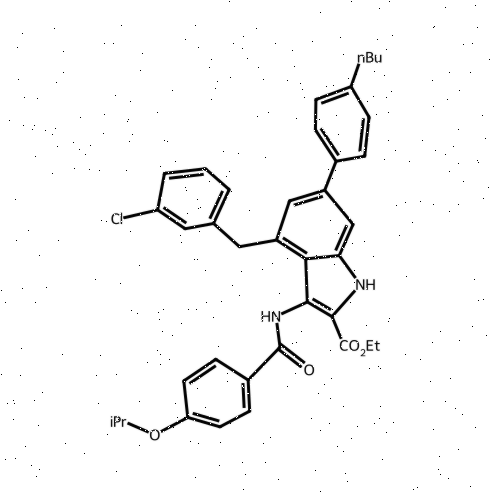 CCCCc1ccc(-c2cc(Cc3cccc(Cl)c3)c3c(NC(=O)c4ccc(OC(C)C)cc4)c(C(=O)OCC)[nH]c3c2)cc1